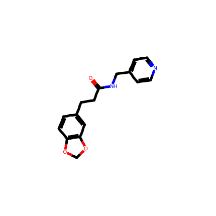 O=C(CCc1ccc2c(c1)OCO2)NCc1ccncc1